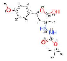 COc1ccc(CCC(C)(NNC(=O)OC(C)(C)C)C(=O)O)cc1